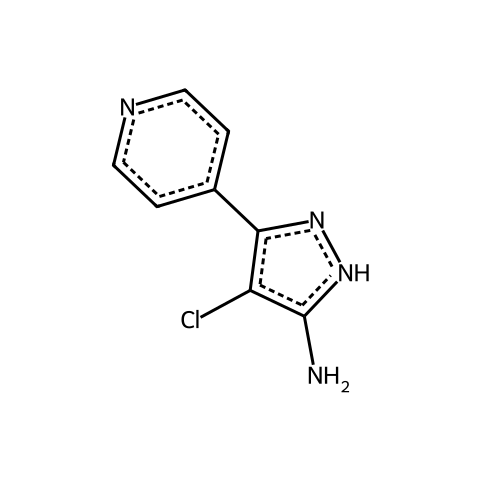 Nc1[nH]nc(-c2ccncc2)c1Cl